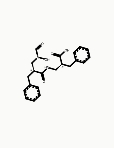 O=CN(O)C[C@H](Cc1ccccc1)C(=O)NC[C@H](Cc1ccccc1)C(=O)O